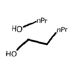 CCCCCO.CCCO